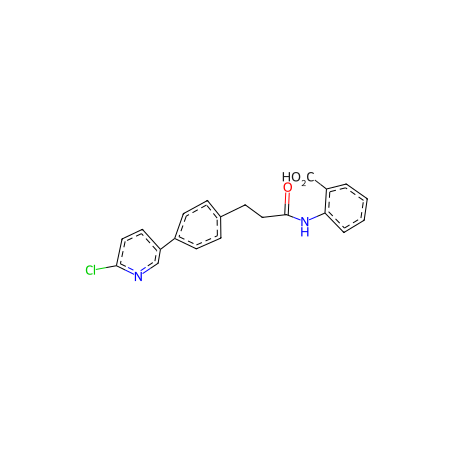 O=C(CCc1ccc(-c2ccc(Cl)nc2)cc1)Nc1ccccc1C(=O)O